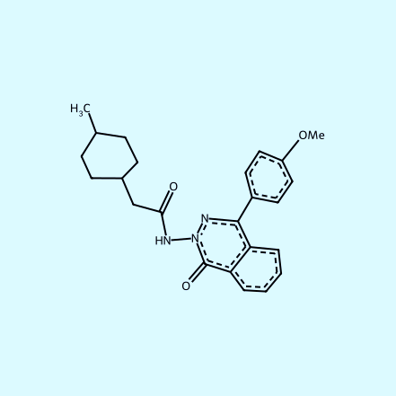 COc1ccc(-c2nn(NC(=O)CC3CCC(C)CC3)c(=O)c3ccccc23)cc1